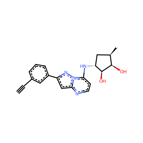 C#Cc1cccc(-c2cc3nccc(N[C@@H]4C[C@@H]([CH2])[C@@H](O)[C@H]4O)n3n2)c1